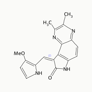 COc1cc[nH]c1/C=C1\C(=O)Nc2ccc3nc(C)c(C)nc3c21